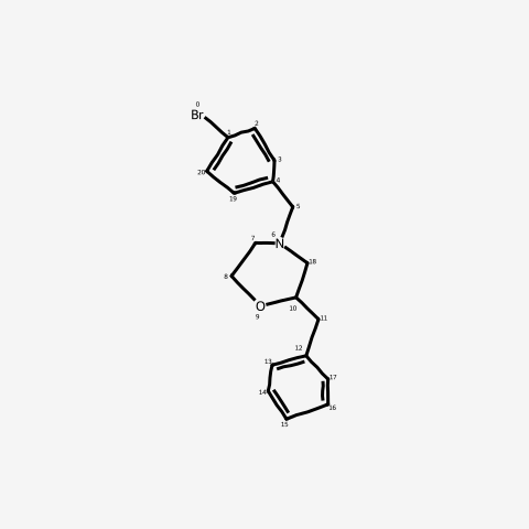 Brc1ccc(CN2CCOC(Cc3ccccc3)C2)cc1